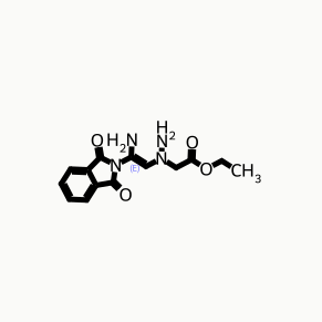 CCOC(=O)CN(N)/C=C(\N)N1C(=O)c2ccccc2C1=O